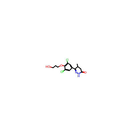 CC1CC(=O)NN=C1c1cc(Cl)c(OCCCO)c(Cl)c1